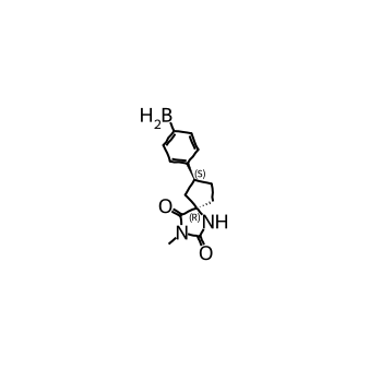 Bc1ccc([C@H]2CC[C@]3(C2)NC(=O)N(C)C3=O)cc1